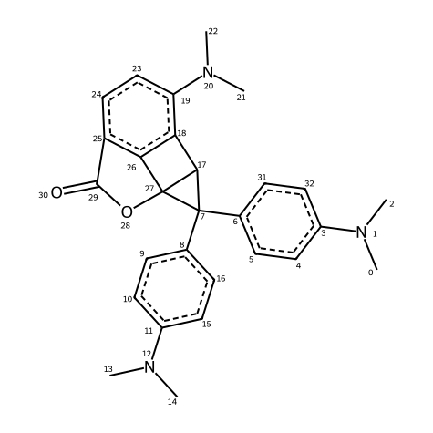 CN(C)c1ccc(C2(c3ccc(N(C)C)cc3)C3c4c(N(C)C)ccc5c4C32OC5=O)cc1